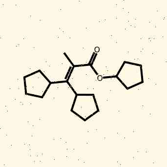 CC(C(=O)OC1CCCC1)=C(C1CCCC1)C1CCCC1